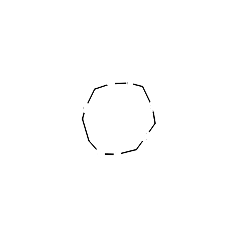 C1CCCCCCOCCCCC1